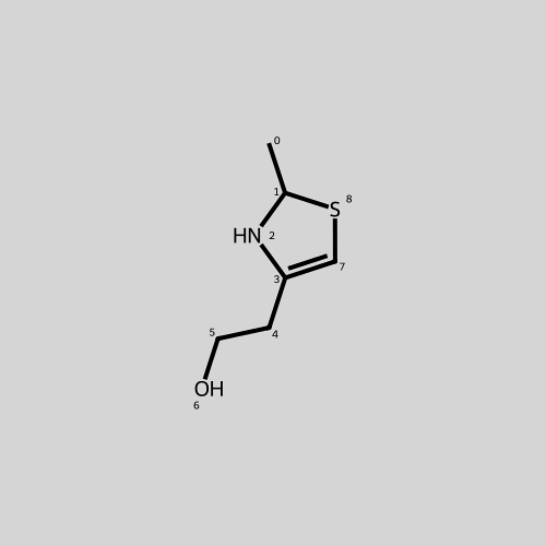 CC1NC(CCO)=CS1